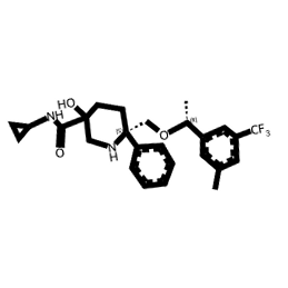 Cc1cc([C@@H](C)OC[C@@]2(c3ccccc3)CCC(O)(C(=O)NC3CC3)CN2)cc(C(F)(F)F)c1